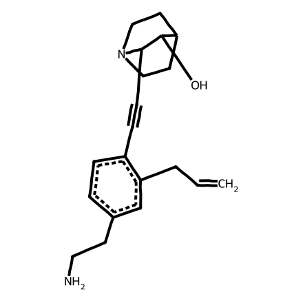 C=CCc1cc(CCN)ccc1C#CC1C(O)C2CCN1CC2